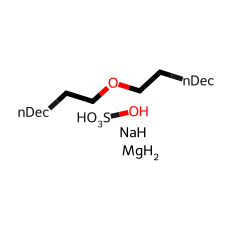 CCCCCCCCCCCCOCCCCCCCCCCCC.O=S(=O)(O)O.[MgH2].[NaH]